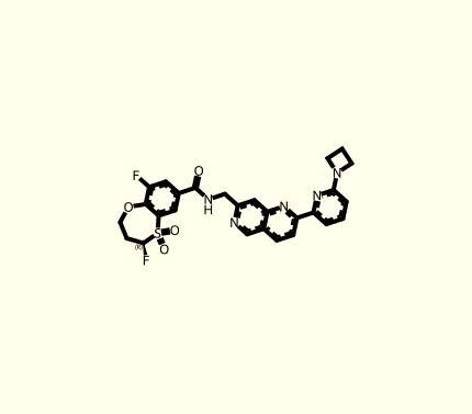 O=C(NCc1cc2nc(-c3cccc(N4CCC4)n3)ccc2cn1)c1cc(F)c2c(c1)S(=O)(=O)[C@@H](F)CCO2